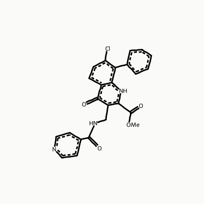 COC(=O)c1[nH]c2c(-c3ccccc3)c(Cl)ccc2c(=O)c1CNC(=O)c1ccncc1